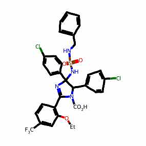 CCOc1cc(C(F)(F)F)ccc1C1=NC(NS(=O)(=O)NCc2ccccc2)(c2ccc(Cl)cc2)C(c2ccc(Cl)cc2)N1C(=O)O